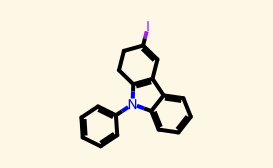 IC1=Cc2c(n(-c3ccccc3)c3ccccc23)CC1